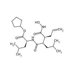 C=CC[C@H](C(=O)NO)[C@@H](CC(C)C)C(=O)N[C@@H](CC(C)C)C(=O)OC1CCCC1